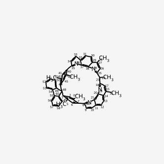 Cc1cc2c(C)cc1-c1ccc3ccc4c(C)cc(nc4c3n1)C(C)c1cc(C)c3ccc4ccc(nc4c3n1)-c1cc(C)c(cc1C)C21c2ccccc2-c2ccccc21